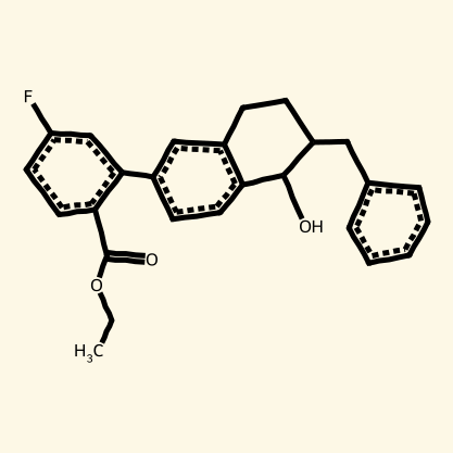 CCOC(=O)c1ccc(F)cc1-c1ccc2c(c1)CCC(Cc1ccccc1)C2O